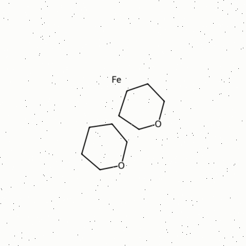 C1CCOCC1.C1CCOCC1.[Fe]